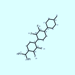 CCCC(CCC)C1CCC(C2CCC(C3CCC(C)CC3)C(F)C2F)C(F)C1F